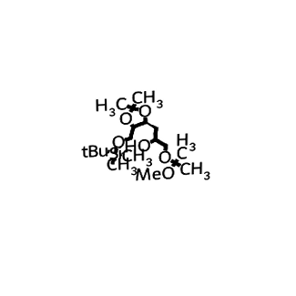 COC(C)(C)OCC(O)C[C@@H]1OC(C)(C)OC1CO[Si](C)(C)C(C)(C)C